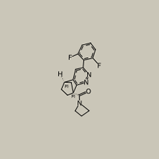 O=C(N1CCC1)[C@]12CC[C@H](C1)c1cc(-c3c(F)cccc3F)nnc12